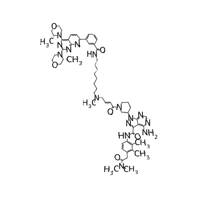 Cc1c(CC(=O)N(C)C)ccc(NC(=O)c2nn([C@@H]3CCCN(C(=O)/C=C/CN(C)CCCCCCCCNC(=O)c4cccc(-c5ccc6c(N7CCOC[C@H]7C)nc(N7CCOC[C@H]7C)nc6n5)c4)C3)c3ncnc(N)c23)c1C